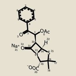 CC(=O)OC(C(=O)c1ccccc1)[C@@H]1C(=O)N2[C@@H]1SC(C)(C)[C@@H]2C(=O)[O-].[Na+]